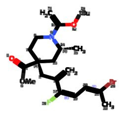 C=C(C[C@@]1(C(=O)OC)CCN(C(=C)OC(C)(C)C)[C@H](C)C1)/C(F)=C\C=C(/C)Br